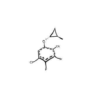 C[C@@H]1C[C@H]1Oc1cc(Cl)c(F)c(Br)c1C#N